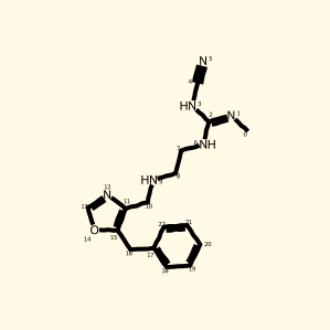 C/N=C(/NC#N)NCCNCc1ncoc1Cc1ccccc1